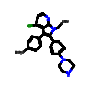 CCOC(=O)c1ccc(-c2c(-c3ccc(N4CCNCC4)cc3)n(COC)c3nccc(Cl)c23)cc1